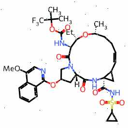 CC[C@@H]1O[C@H](C)CC/C=C\C2C[C@@]2(C(=O)NS(=O)(=O)C2CC2)NC(=O)[C@@H]2C[C@@H](Oc3ncc(OC)c4ccccc34)CN2C(=O)[C@H]1NC(=O)OC(C)(C)C(F)(F)F